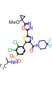 COC1(c2nnc(-c3nc(C(=O)N4CCC(F)(F)CC4)c(-c4ccc(S(=O)(=O)NC(C)C(F)(F)F)c(Cl)c4Cl)s3)o2)CC1